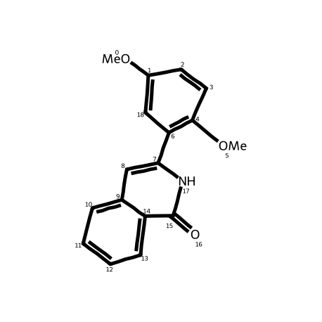 COc1ccc(OC)c(-c2cc3ccccc3c(=O)[nH]2)c1